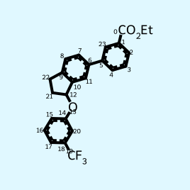 CCOC(=O)c1cccc(-c2ccc3c(c2)C(Oc2cccc(C(F)(F)F)c2)CC3)c1